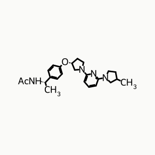 CC(=O)N[C@@H](C)c1ccc(O[C@@H]2CCN(c3cccc(N4CCC(C)C4)n3)C2)cc1